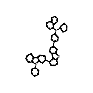 c1ccc(N(c2ccc(-c3ccc4c(c3)sc3cccc(-c5ccc6c7ccccc7n(-c7ccccc7)c6c5)c34)cc2)c2cccc3ccccc23)cc1